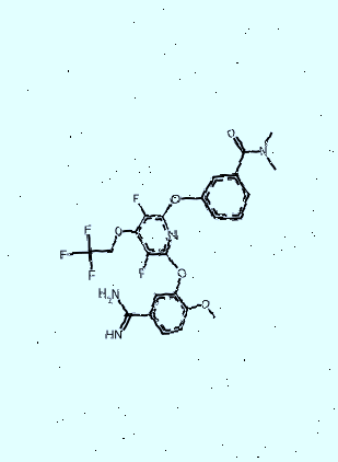 COc1ccc(C(=N)N)cc1Oc1nc(Oc2cccc(C(=O)N(C)C)c2)c(F)c(OCC(F)(F)F)c1F